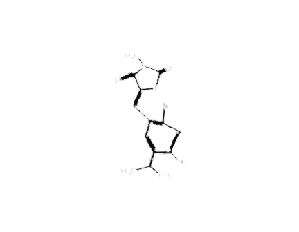 CC(C)c1cc(/C=C2\SC(=O)N(C)C2=O)c(Br)cc1O